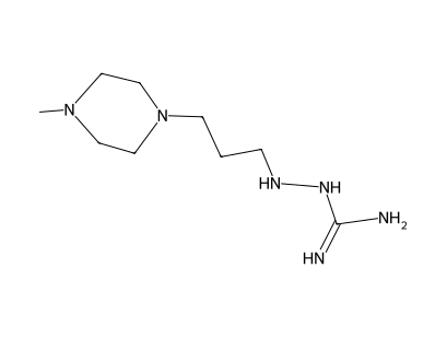 CN1CCN(CCCNNC(=N)N)CC1